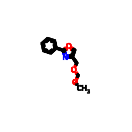 COCOCc1coc(-c2ccccc2)n1